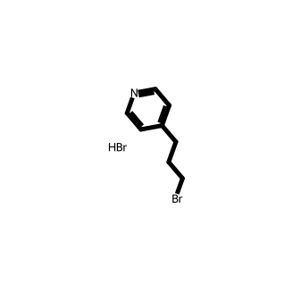 Br.BrCCCc1ccncc1